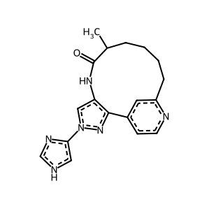 CC1CCCCc2cc(ccn2)-c2nn(-c3c[nH]cn3)cc2NC1=O